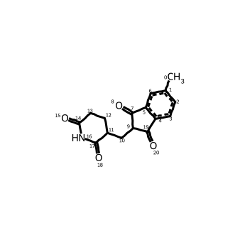 Cc1ccc2c(c1)C(=O)C(CC1CCC(=O)NC1=O)C2=O